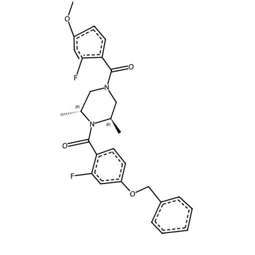 COc1ccc(C(=O)N2C[C@@H](C)N(C(=O)c3ccc(OCc4ccccc4)cc3F)[C@H](C)C2)c(F)c1